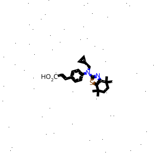 CC1(C)CCC(C)(C)c2sc(N(CC3CC3)c3ccc(/C=C/C(=O)O)cc3)nc21